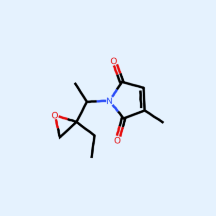 CCC1(C(C)N2C(=O)C=C(C)C2=O)CO1